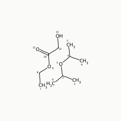 CC(C)OC(C)C.CCOC(=O)CO